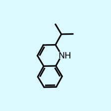 CC(C)C1C=Cc2ccccc2N1